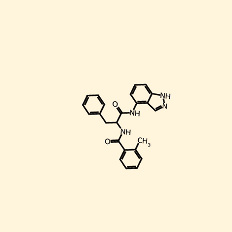 Cc1ccccc1C(=O)NC(Cc1ccccc1)C(=O)Nc1cccc2[nH]ncc12